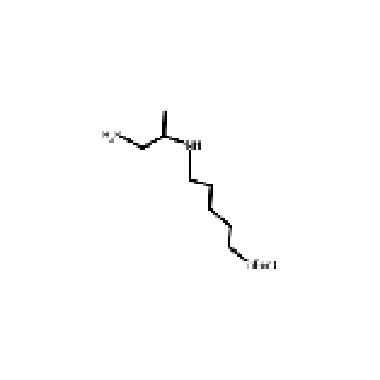 CCCCCCCCCCNC(C)CN